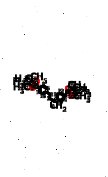 C=C(CCc1ccc(B2OC(C)(C)C(C)(C)O2)cc1)c1ccc(B2OC(C)(C)C(C)(C)O2)cc1